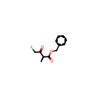 CC(C(=O)CF)C(=O)OCc1ccccc1